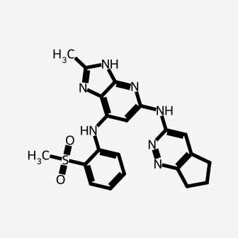 Cc1nc2c(Nc3ccccc3S(C)(=O)=O)cc(Nc3cc4c(nn3)CCC4)nc2[nH]1